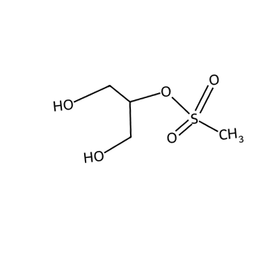 CS(=O)(=O)OC(CO)CO